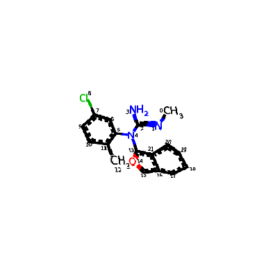 CN=C(N)N(c1cc(Cl)ccc1C)c1occ2ccccc12